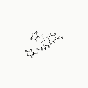 Cn1cncc1CN1CC(NCCn2cccn2)Cc2cc(C#N)ccc21